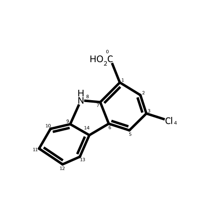 O=C(O)c1cc(Cl)cc2c1[nH]c1ccccc12